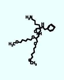 COCCCCCOCC(CNC[C@@](C=O)(CCCCN)NCc1ccccc1)OCCCCCOC